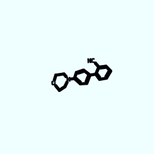 N#Cc1ccccc1-c1ccc(N2CCOCC2)cc1